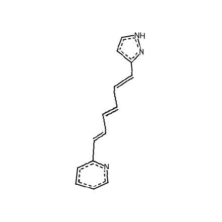 C(=CC=Cc1cc[nH]n1)C=Cc1ccccn1